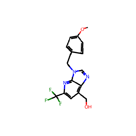 COc1ccc(Cn2cnc3c(CO)cc(C(F)(F)F)nc32)cc1